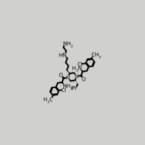 Cc1ccc(CC(N)C(=O)N2C[C@H](CCCCNCCN)N(C(=O)C(N)Cc3ccc(C)cc3Cl)C[C@H]2CC(C)C)c(Cl)c1